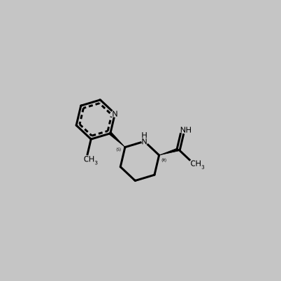 CC(=N)[C@H]1CCC[C@@H](c2ncccc2C)N1